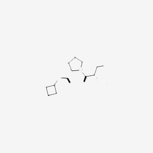 C[C@H](CS)C(=O)N1CCC[C@H]1C(=O)OC1CCC1